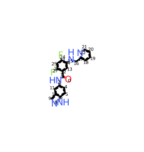 O=C(Nc1ccc2[nH]ncc2c1)c1cc(NCc2ccccn2)c(F)cc1F